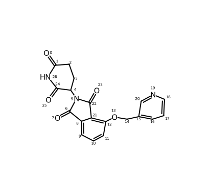 O=C1CCC(N2C(=O)c3cccc(OCc4cccnc4)c3C2=O)C(=O)N1